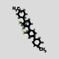 CC1CCC(c2ccc(-c3ccc(C4CCC(C)CC4)c(F)c3F)c(F)c2)CC1